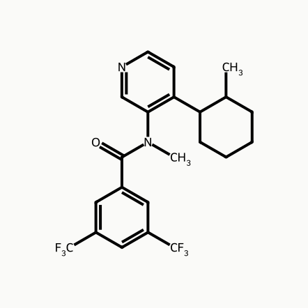 CC1CCCCC1c1ccncc1N(C)C(=O)c1cc(C(F)(F)F)cc(C(F)(F)F)c1